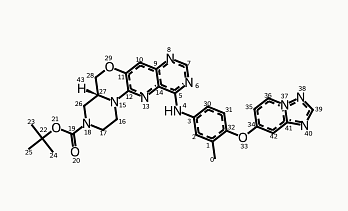 Cc1cc(Nc2ncnc3cc4c(nc23)N2CCN(C(=O)OC(C)(C)C)C[C@@H]2CO4)ccc1Oc1ccn2ncnc2c1